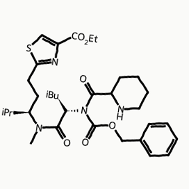 CCOC(=O)c1csc(CC[C@H](C(C)C)N(C)C(=O)[C@H]([C@H](C)CC)N(C(=O)OCc2ccccc2)C(=O)C2CCCCN2)n1